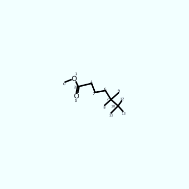 COC(=O)CCCC(C)(C)C(C)(C)C